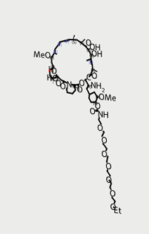 CCOCCOCCOCCOCCOCCOCCOCCNC(=O)O[C@@H]1CCC(C[C@@H](N)C2CC(=O)[C@H](C)/C=C(\C)[C@@H](O)[C@@H](O)C(=O)[C@H](C)C[C@H](C)/C=C/C=C/C=C(\C)[C@@H](OC)C[C@@H]3CC[C@@H](C)[C@@](O)(O3)C(=O)C(=O)N3CCCC[C@H]3C(=O)O2)C[C@H]1OC